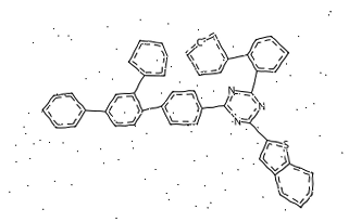 c1ccc(-c2ccc(-c3ccc(-c4nc(-c5cc6ccccc6s5)nc(-c5ccccc5-c5ccccc5)n4)cc3)c(-c3ccccc3)c2)cc1